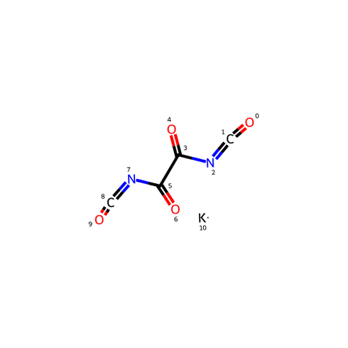 O=C=NC(=O)C(=O)N=C=O.[K]